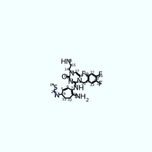 CS/C=N\C1C=CC(NC2=NC(=O)N(CC=N)C=CN2Cc2cc(F)c(F)cc2F)=C(N)CC1